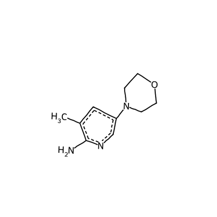 Cc1cc(N2CCOCC2)cnc1N